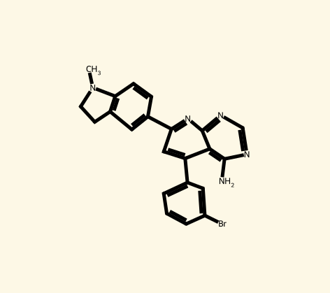 CN1CCc2cc(-c3cc(-c4cccc(Br)c4)c4c(N)ncnc4n3)ccc21